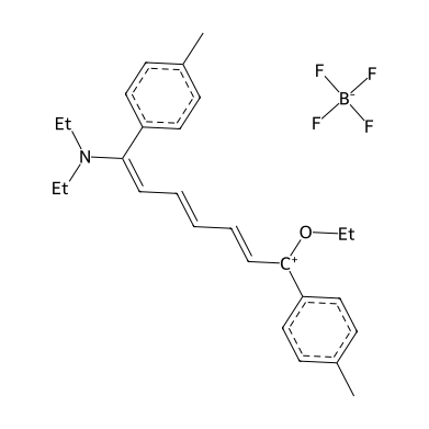 CCO[C+](/C=C/C=C/C=C(\c1ccc(C)cc1)N(CC)CC)c1ccc(C)cc1.F[B-](F)(F)F